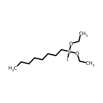 CCCCCCCC[Si](I)(OCC)OCC